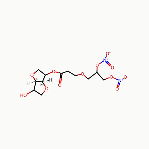 O=C(CCOCC(CO[N+](=O)[O-])O[N+](=O)[O-])OC1CO[C@@H]2C(O)CO[C@H]12